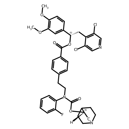 COc1ccc([C@H](Cc2c(Cl)cncc2Cl)OC(=O)c2ccc(CCN(C(=O)O[C@H]3CN4CCC3CC4)c3ccccc3F)cc2)cc1OC